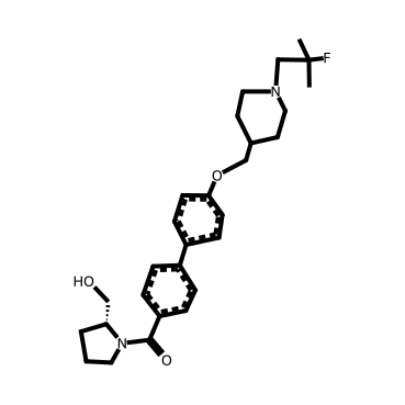 CC(C)(F)CN1CCC(COc2ccc(-c3ccc(C(=O)N4CCC[C@@H]4CO)cc3)cc2)CC1